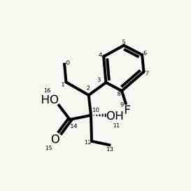 CCC(c1ccccc1F)[C@@](O)(CC)C(=O)O